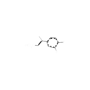 CC(=CC(=O)O)c1ccc(F)c(F)c1